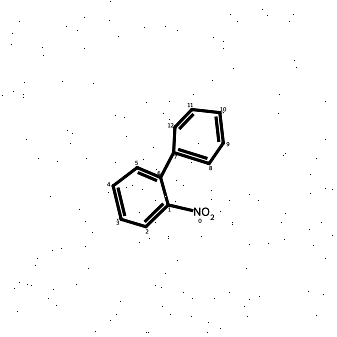 O=[N+]([O-])c1c[c]ccc1-c1cc[c]cc1